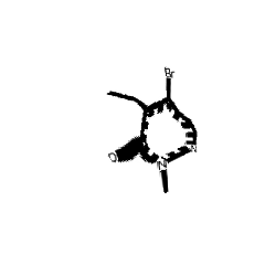 Cc1c(Br)cnn(C)c1=O